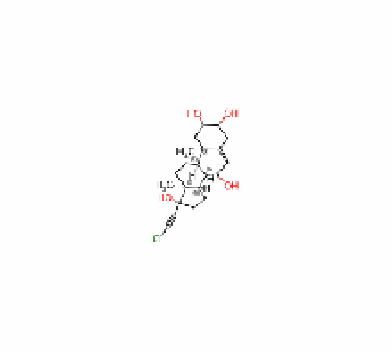 C[C@]12CC(O)C(O)CC1=CC(O)[C@@H]1[C@H]2CC[C@@]2(C)[C@H]1CCC2(O)C#CCl